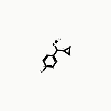 O=NC(c1ccc(Br)cc1)C1CC1